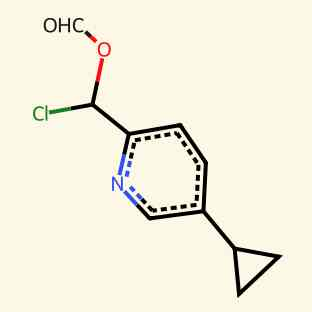 O=COC(Cl)c1ccc(C2CC2)cn1